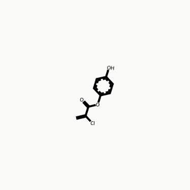 C=C(Cl)C(=O)Oc1ccc(O)cc1